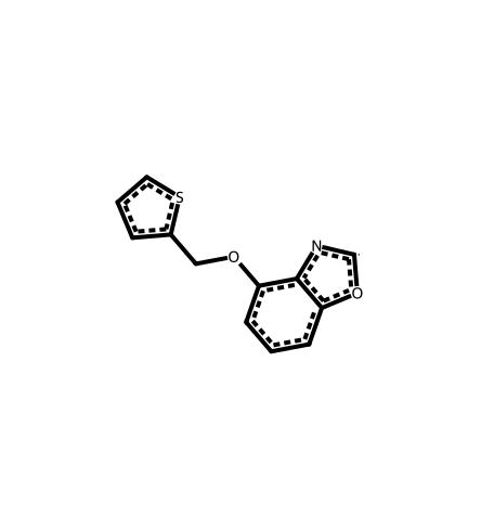 [c]1nc2c(OCc3cccs3)cccc2o1